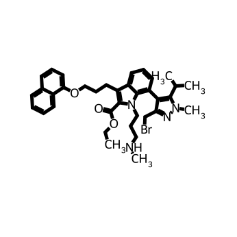 CCOC(=O)c1c(CCCOc2cccc3ccccc23)c2cccc(-c3c(CBr)nn(C)c3C(C)C)c2n1CCCNC